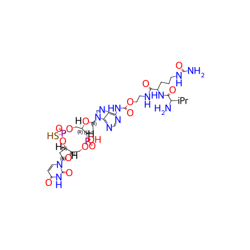 CC(C)C(N)C(=O)NC(CCCNC(N)=O)C(=O)NCCOC(=O)Nc1ncnc2c1ncn2[C@H]1C[C@H]2[C@@H](COP(=O)(S)O[C@H]3C[C@H](n4ccc(=O)[nH]c4=O)O[C@@H]3COP2(=O)O)O1